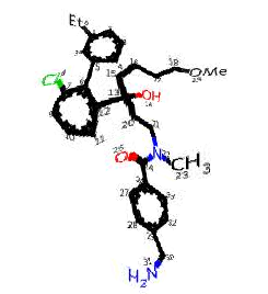 CCc1cccc(-c2c(Cl)cccc2C(O)(CCCCOC)CCN(C)C(=O)c2ccc(CN)cc2)c1